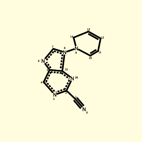 N#Cc1ncc2ncn(N3C=CC=CC3)c2n1